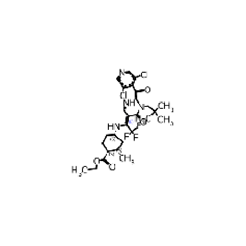 CCOC(=O)[C@H]1CC[C@H](N/C(=C(\C=N)C(=O)N(CC(=O)c2c(Cl)cncc2Cl)CC(C)(C)C)C(F)(F)F)C[C@@H]1C